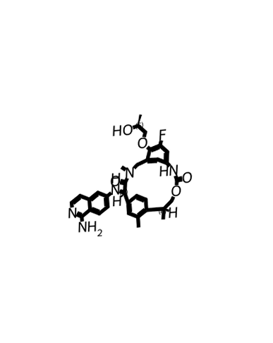 Cc1cc2ccc1[C@@H](C)COC(=O)Nc1cc(F)c(OC[C@H](C)O)c(c1)CN(C)C(=O)[C@@H]2Nc1ccc2c(N)nccc2c1